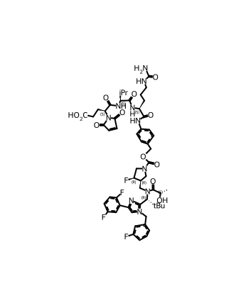 CC(C)[C@H](NC(=O)[C@H](CCC(=O)O)N1C(=O)C=CC1=O)C(=O)N[C@@H](CCCNC(N)=O)C(=O)Nc1ccc(COC(=O)N2C[C@@H](CN(C(=O)[C@H](C)O)[C@@H](c3nc(-c4cc(F)ccc4F)cn3Cc3cccc(F)c3)C(C)(C)C)[C@@H](F)C2)cc1